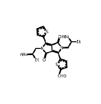 CCCCC(CC)CN1C(=O)C2=C(c3ccc(C=O)s3)N(CC(CC)CCCC)C(=O)C2=C1c1cccs1